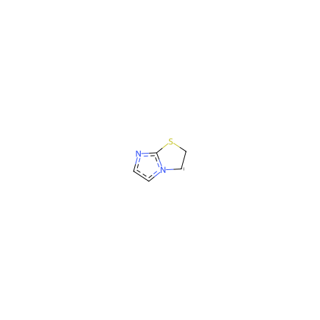 [C]1CSc2nccn21